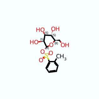 Cc1ccccc1S(=O)(=O)O[C@H]1O[C@H](CO)[C@@H](O)[C@H](O)[C@@H]1O